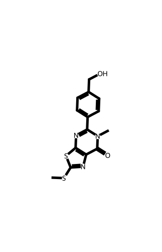 CSc1nc2c(=O)n(C)c(-c3ccc(CO)cc3)nc2s1